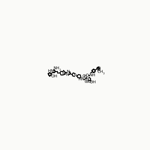 Cn1nccc1-c1ccc(CNC(=O)[C@@H]2C[C@@H](O)CN2C(=O)[C@@H](NC(=O)[C@H]2CC[C@@H](N3CCC(c4cnc(C56CC7CC(CCc8cc(-c9ccccc9O)[nH]c8N)CC(C5)N76)nc4)CC3)CC2)C(C)(C)C)cc1